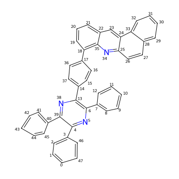 c1ccc(-c2nc(-c3ccccc3)c(-c3ccc(-c4cccc5cc6c(ccc7ccccc76)nc45)cc3)nc2-c2ccccc2)cc1